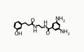 Nc1cc(N)cc(C(=O)NCCNC(=O)CCc2cccc(O)c2)c1